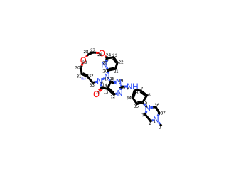 CN1CCN(c2ccc(Nc3ncc4c(=O)n5n(c4n3)-c3cccc(n3)OCCOC/C=C/C5)cc2)CC1